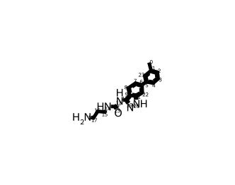 Cc1cccc(-c2ccc3c(NC(=O)NCCCN)n[nH]c3c2)c1